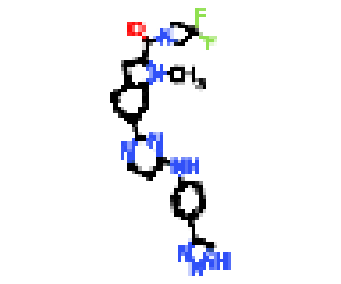 Cn1c(C(=O)N2CC(F)(F)C2)cc2ccc(-c3nccc(Nc4ccc(-c5c[nH]nn5)cc4)n3)cc21